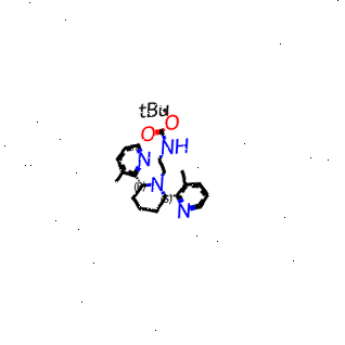 Cc1cccnc1[C@H]1CCC[C@@H](c2ncccc2C)N1CCNC(=O)OC(C)(C)C